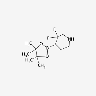 CC1(C)OB(C2=CCNCC2(F)F)OC1(C)C